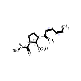 C=C(/C=C\C=C/C)[C@H]1CCN(C(=O)OC(C)(C)C)[C@@H]1C(=O)O